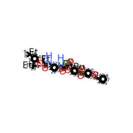 CCC(Oc1ccc(C(C)(C)CC)cc1C(C)(C)CC)C(=O)Nc1cccc(NC(=O)C(Cl)(Oc2ccc(S(=O)(=O)c3ccc(OCc4ccccc4)cc3)cc2)C(=O)C(C)(C)C)c1